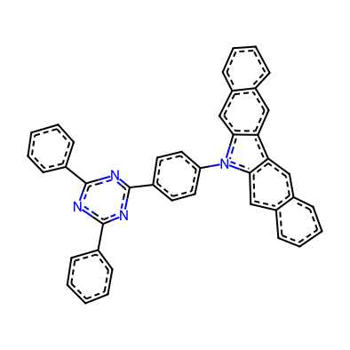 c1ccc(-c2nc(-c3ccccc3)nc(-c3ccc(-n4c5cc6ccccc6cc5c5cc6ccccc6cc54)cc3)n2)cc1